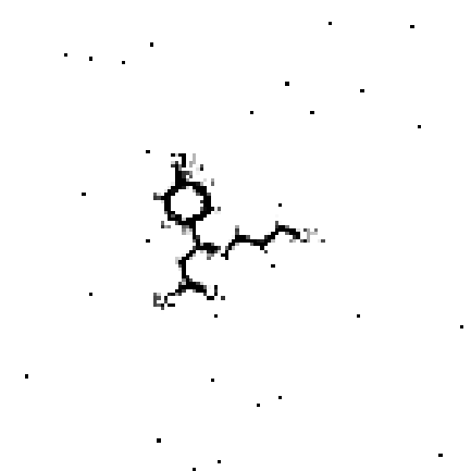 CCCC/N=C(/CC(C)=O)c1ccc(C)cc1